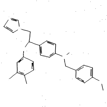 COc1ccc(C[S+]([O-])c2ccc(C(Cn3ccnc3)Sc3ccc(Cl)c(Cl)c3)cc2)cc1